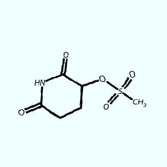 CS(=O)(=O)OC1CCC(=O)NC1=O